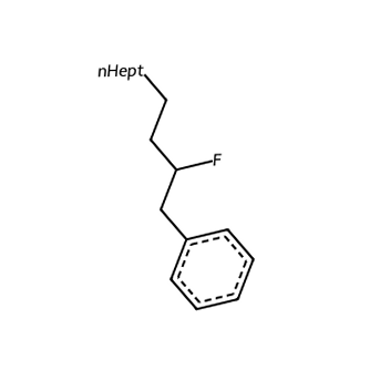 CCCCCCCCCC(F)Cc1ccccc1